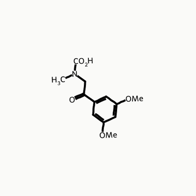 COc1cc(OC)cc(C(=O)CN(C)C(=O)O)c1